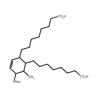 CCCCCCC1C=CC(CCCCCCCC(=O)O)C(CCCCCCCC(=O)O)C1C